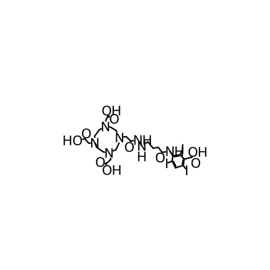 O=C(O)CN1CCN(CC(=O)O)CCN(CC(=O)NNCCCC(=O)Nc2c(I)cc(I)c(C(=O)O)c2I)CCN(CC(=O)O)CC1